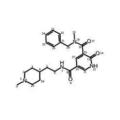 CN1CCC(CCNC(=O)c2c[nH]c(=O)c(C(=O)N(C)Cc3ccccc3)c2)CC1